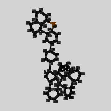 CC1C2=C(C=CC1c1ccc(-c3ccc4c(c3)-c3cccc5cccc(c35)S4)cc1)c1ccccc1C21c2ccccc2-c2cccc3cccc1c23